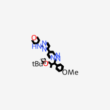 COc1ccc(C(c2nnc3cc(-c4ccnc(NC5CCOCC5)n4)ccn23)C(C)CO[Si](C)(C)C(C)(C)C)cc1